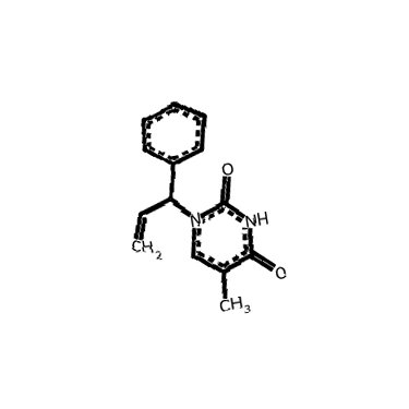 C=CC(c1ccccc1)n1cc(C)c(=O)[nH]c1=O